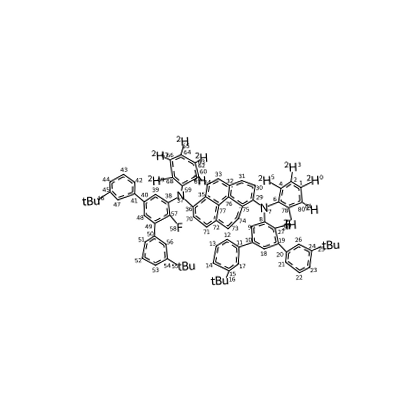 [2H]c1c([2H])c([2H])c(N(c2cc(-c3cccc(C(C)(C)C)c3)cc(-c3cccc(C(C)(C)C)c3)c2F)c2ccc3ccc4c(N(c5cc(-c6cccc(C(C)(C)C)c6)cc(-c6cccc(C(C)(C)C)c6)c5F)c5c([2H])c([2H])c([2H])c([2H])c5[2H])ccc5ccc2c3c54)c([2H])c1[2H]